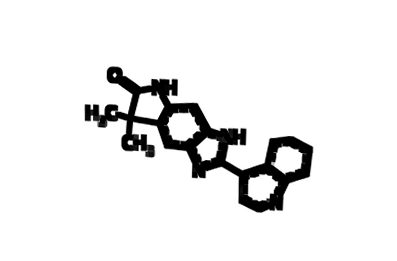 CC1(C)C(=O)Nc2cc3[nH]c(-c4ccnc5ccccc45)nc3cc21